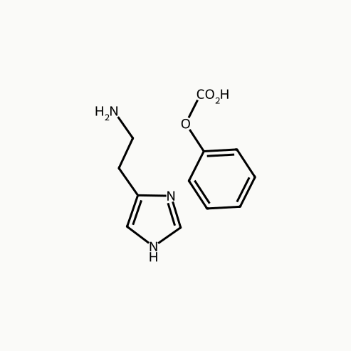 NCCc1c[nH]cn1.O=C(O)Oc1ccccc1